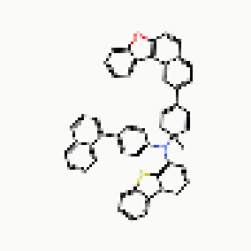 CC1(N(C2=C3Sc4ccccc4C3CC=C2)c2ccc(-c3cccc4ccccc34)cc2)C=CC(c2ccc3ccc4oc5ccccc5c4c3c2)=CC1